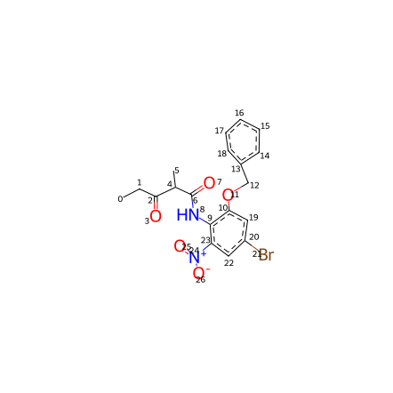 CCC(=O)C(C)C(=O)Nc1c(OCc2ccccc2)cc(Br)cc1[N+](=O)[O-]